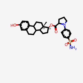 C[C@]12CCC3c4ccc(O)cc4CCC3C1CC[C@@H]2OC(=O)C1CCCN1c1ccc(S(N)(=O)=O)cc1